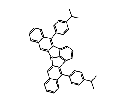 CC(C)c1ccc(-c2c3ccccc3cc3c2c2cccc4c5c(-c6ccc(C(C)C)cc6)c6ccccc6cc5n3c24)cc1